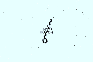 CCCCOC(=O)N[C@H](O)[C@@H](O)CCC1CCCCC1